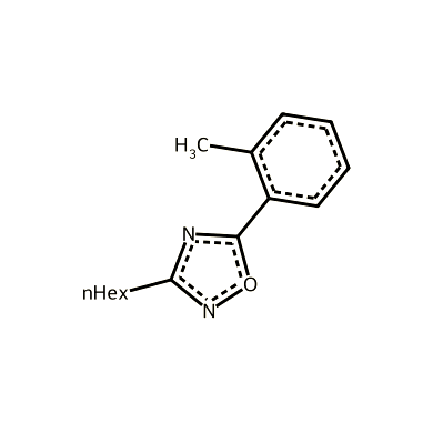 [CH2]CCCCCc1noc(-c2ccccc2C)n1